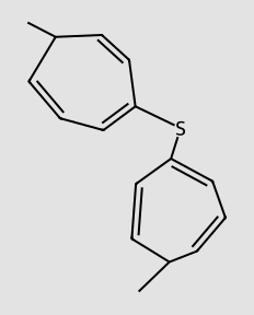 CC1C=CC=C(SC2=CC=CC(C)C=C2)C=C1